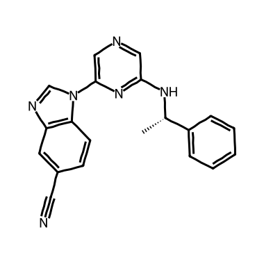 C[C@H](Nc1cncc(-n2cnc3cc(C#N)ccc32)n1)c1ccccc1